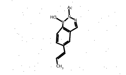 C/C=C/c1ccc2c(c1)C=NN(C(C)=O)B2O